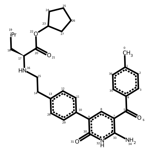 Cc1ccc(C(=O)c2cc(-c3ccc(CCN[C@@H](CC(C)C)C(=O)OC4CCCC4)cc3)c(=O)[nH]c2N)cc1